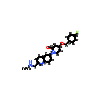 CCCNCc1ccc2cc(-n3ccc(OCc4ccc(F)cc4)cc3=O)ccc2n1